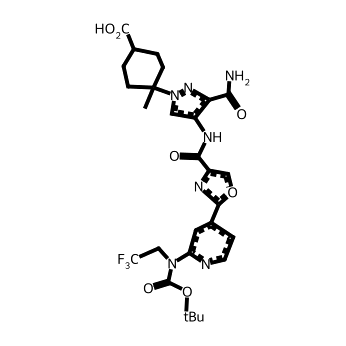 CC(C)(C)OC(=O)N(CC(F)(F)F)c1cc(-c2nc(C(=O)Nc3cn(C4(C)CCC(C(=O)O)CC4)nc3C(N)=O)co2)ccn1